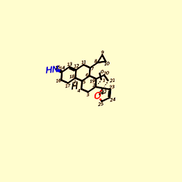 CC[C@]12CCC3C(C(C4CC4)CC4=CC(=N)CC[C@@H]43)C1CC[C@@]21C=CCO1